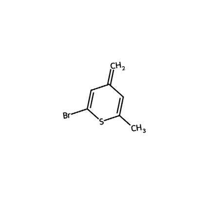 C=C1C=C(C)SC(Br)=C1